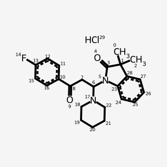 CC1(C)C(=O)N(C(CC(=O)c2ccc(F)cc2)N2CCCCC2)c2ccccc21.Cl